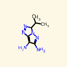 CC(C)C1N=Nc2c(N)c(N)nn21